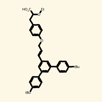 CCOC(Cc1ccc(OCC=Cc2cc(-c3ccc(C(C)(C)C)cc3)cc(-c3ccc(C(C)(C)C)cc3)c2)cc1)C(=O)O